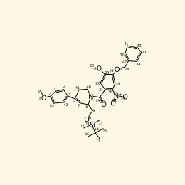 COc1ccc(C2=CC(CO[Si](C)(C)C(C)(C)C)N(C(=O)c3cc(OC)c(OCc4ccccc4)cc3[N+](=O)[O-])CC2)cc1